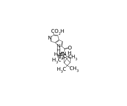 CC1(C)C2C[C@H](NC(=O)c3cc4cc(C(=O)O)ncc4[nH]3)C(C)(C)C1C2(C)C